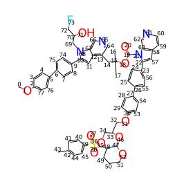 COc1ccc(-c2ccc(-c3cc4c(CC(C)(C)OC(=O)n5c(-c6ccc(-c7ccc(OCC(COS(=O)(=O)c8ccc(C)cc8)OC8CCCCO8)cc7)cc6)cc6ccncc65)cncc4n3CC(O)CF)cc2)cc1